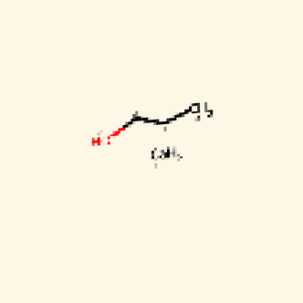 [CH2]CCO.[CaH2]